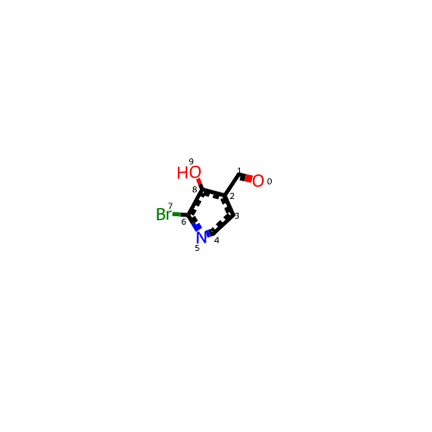 O=Cc1ccnc(Br)c1O